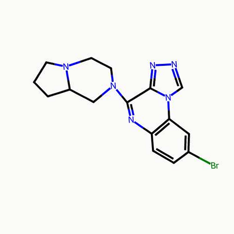 Brc1ccc2nc(N3CCN4CCCC4C3)c3nncn3c2c1